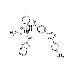 CCC[C@H](NC(=O)C1(NC(=O)c2ccc(-c3csc(N4CCN(C)CC4)n3)cc2)CCCCC1)C(=O)c1nc2ccccc2o1